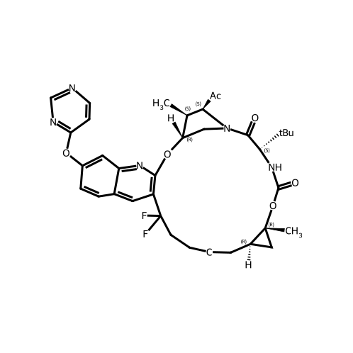 CC(=O)[C@@H]1[C@H](C)[C@@H]2CN1C(=O)[C@H](C(C)(C)C)NC(=O)O[C@]1(C)C[C@H]1CCCCC(F)(F)c1cc3ccc(Oc4ccncn4)cc3nc1O2